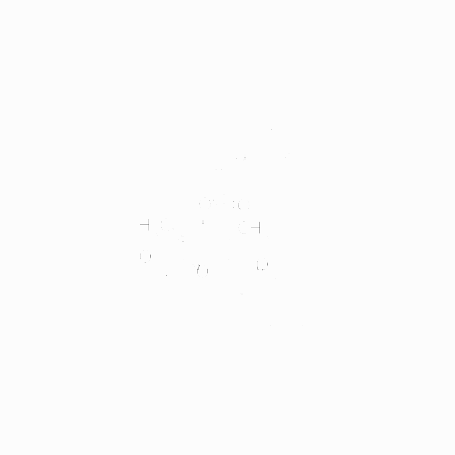 CC1=C(c2cc3ccccc3o2)OC(C=O)C(C)=C1OC(=O)CC1CCCC1